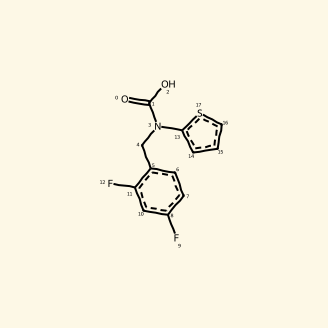 O=C(O)N(Cc1ccc(F)cc1F)c1cccs1